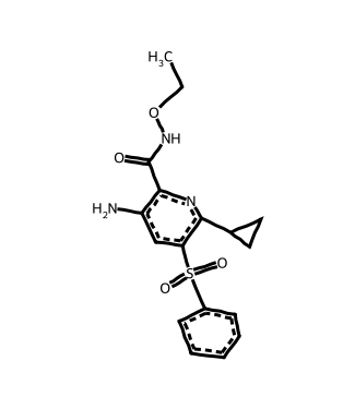 CCONC(=O)c1nc(C2CC2)c(S(=O)(=O)c2ccccc2)cc1N